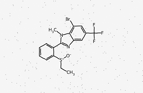 CC[S+]([O-])c1ccccc1-c1nc2cc(C(F)(F)F)cc(Br)c2n1C